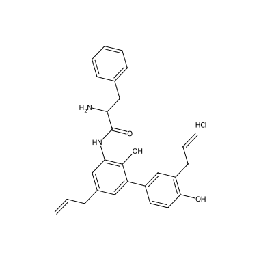 C=CCc1cc(NC(=O)C(N)Cc2ccccc2)c(O)c(-c2ccc(O)c(CC=C)c2)c1.Cl